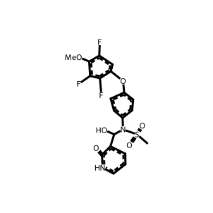 COc1c(F)cc(Oc2ccc(N(C(O)c3ccc[nH]c3=O)S(C)(=O)=O)cc2)c(F)c1F